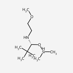 COCCN[C@H](O[SiH](C)C)C(C)(C)C